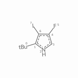 CC(C)(C)c1[nH]cc(F)c1I